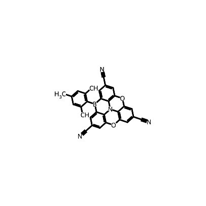 Cc1cc(C)c(B2c3cc(C#N)cc4c3N3c5c(cc(C#N)cc5Oc5cc(C#N)cc2c53)O4)c(C)c1